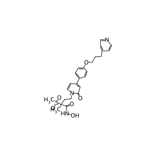 CC(CCn1ccc(-c2ccc(OCCCc3ccncc3)cc2)cc1=O)(C(=O)NO)S(C)(=O)=O